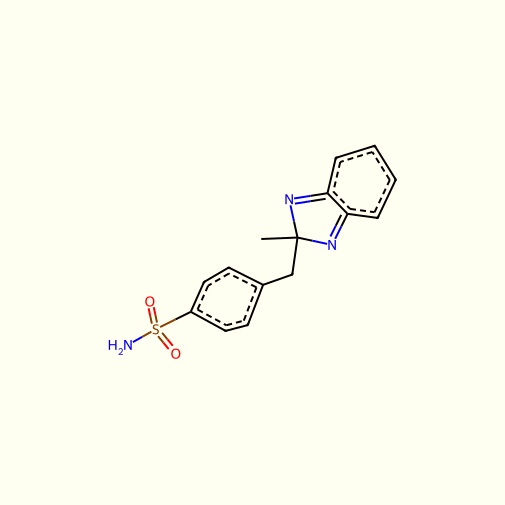 CC1(Cc2ccc(S(N)(=O)=O)cc2)N=c2ccccc2=N1